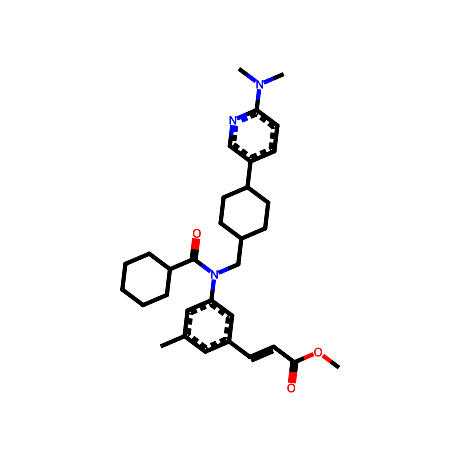 COC(=O)/C=C/c1cc(C)cc(N(CC2CCC(c3ccc(N(C)C)nc3)CC2)C(=O)C2CCCCC2)c1